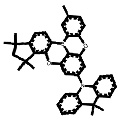 Cc1ccc2c(c1)B1c3ccc4c(c3Oc3cc(N5c6ccccc6C(C)(C)c6ccccc65)cc(c31)O2)C(C)(C)CC4(C)C